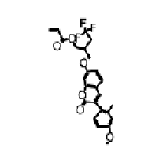 C=CC(=O)OCC(COc1ccc2cc(-c3ccc(OC)cc3C)c(=O)oc2c1)CC(F)(F)F